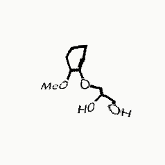 COC1CCCC=C1OCC(O)CO